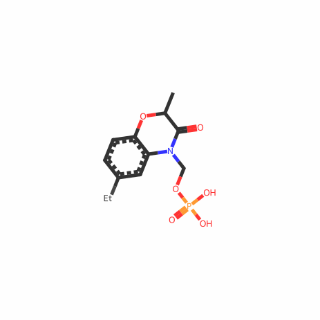 CCc1ccc2c(c1)N(COP(=O)(O)O)C(=O)C(C)O2